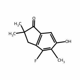 Cc1c(O)cc2c(c1F)CC(C)(C)C2=O